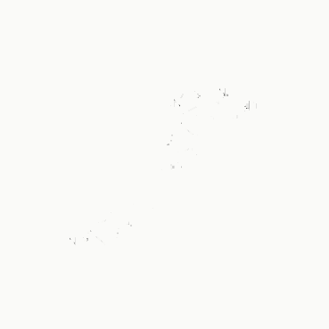 Cc1nc(-c2ccc(OCCCCCOc3ccc(C#N)cc3)cc2)c(CC(N)CC(C)C)s1